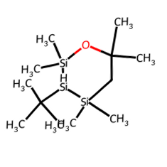 CC1(C)C[Si](C)(C)[SiH](C(C)(C)C)[Si](C)(C)O1